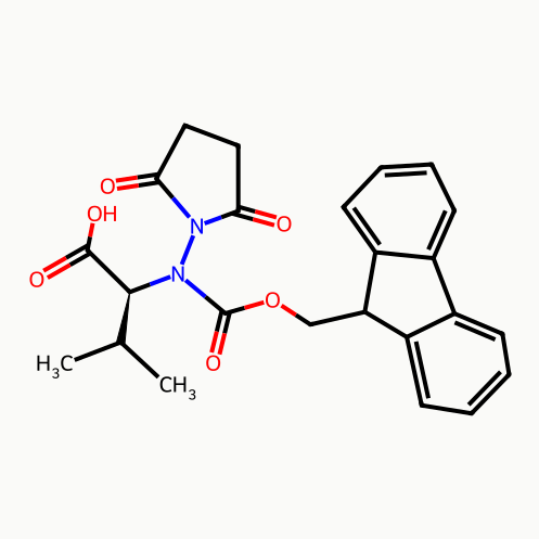 CC(C)[C@@H](C(=O)O)N(C(=O)OCC1c2ccccc2-c2ccccc21)N1C(=O)CCC1=O